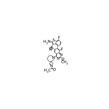 COc1nc(N2CCCCC3(CN(C(C)=O)C3)C2)c2cc(Cl)c(-c3ccc(F)c4sc(N)c(C#N)c34)c(F)c2n1